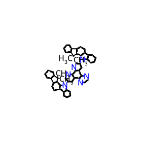 CC1(C)c2ccccc2-c2ccc3c4ccccc4n(-c4cnc5c(c4)c4nccnc4c4cc(-n6c7ccccc7c7ccc8c(c76)C(C)(C)c6ccccc6-8)cnc45)c3c21